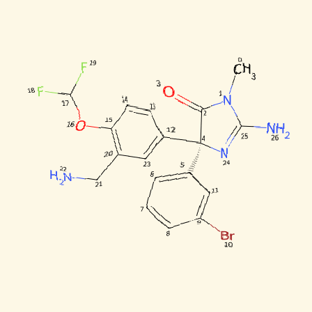 CN1C(=O)[C@](c2cccc(Br)c2)(c2ccc(OC(F)F)c(CN)c2)N=C1N